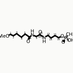 COCCCCCC(=O)NCC(=O)NCCCCOP(C)(=O)O